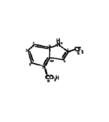 O=C(O)c1cccc2[nH]c(C(F)(F)F)cc12